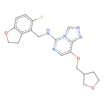 Fc1ccc2c(c1CNc1ncc(OCC3CCOC3)c3nncn13)CCO2